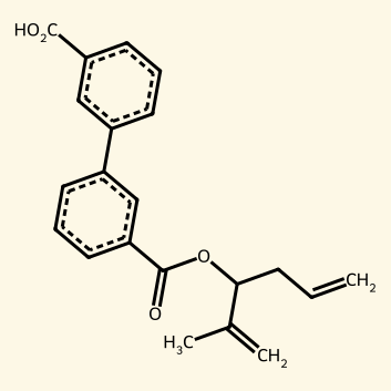 C=CCC(OC(=O)c1cccc(-c2cccc(C(=O)O)c2)c1)C(=C)C